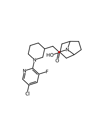 O=C(CC1CCCN(c2ncc(Cl)cc2F)C1)N1C2CCC1CC(O)C2